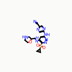 N#Cc1cnc(Nc2cc(NCC3CNCCO3)c(S(=O)(=O)C3CC3)nn2)cn1